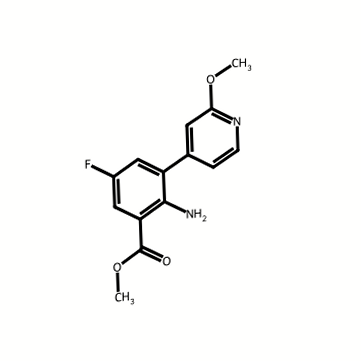 COC(=O)c1cc(F)cc(-c2ccnc(OC)c2)c1N